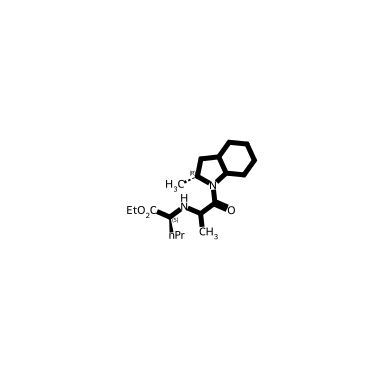 CCC[C@H](NC(C)C(=O)N1C2CCCCC2C[C@H]1C)C(=O)OCC